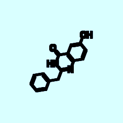 O=c1[nH]c(Cc2ccccc2)nc2ccc(O)cc12